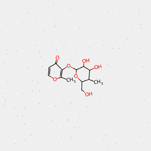 Cc1occc(=O)c1OC1OC(CO)C(C)C(O)C1O